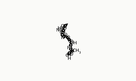 Cn1nc(N2CCC(=O)NC2=O)c2cc(F)c(N3CCC(O)(CC(=O)N4CCC5(CC4)C[C@@H](n4cnc6ccc(Oc7c(F)ccc(NS(=O)(=O)N8CC9CC9C8)c7C#N)cc6c4=O)CO5)CC3)cc21